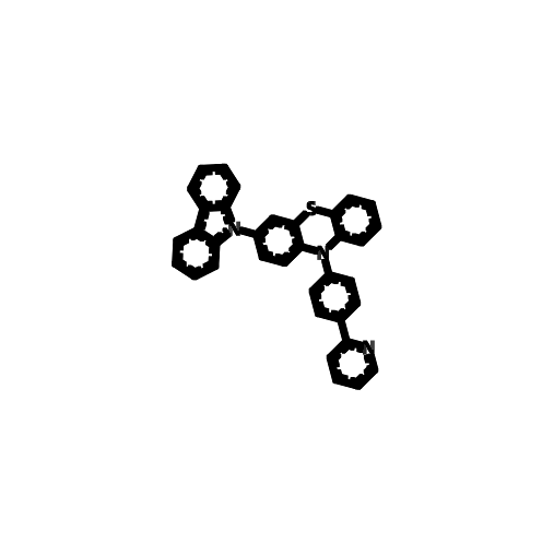 c1ccc(-c2ccc(N3c4ccccc4Sc4cc(-n5c6ccccc6c6ccccc65)ccc43)cc2)nc1